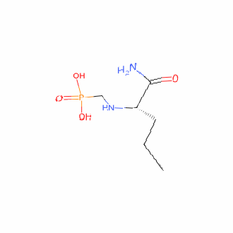 CCC[C@H](NCP(=O)(O)O)C(N)=O